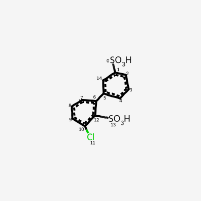 O=S(=O)(O)c1cccc(-c2[c]ccc(Cl)c2S(=O)(=O)O)c1